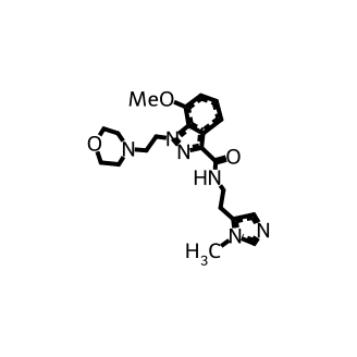 COc1cccc2c(C(=O)NCCc3cncn3C)nn(CCN3CCOCC3)c12